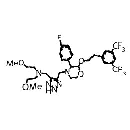 COCCN(CCOC)Cc1[nH]nnc1CN1CCOC(OCCc2cc(C(F)(F)F)cc(C(F)(F)F)c2)C1c1ccc(F)cc1